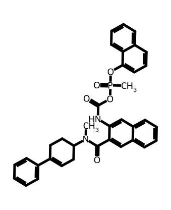 CN(C(=O)c1cc2ccccc2cc1NC(=O)OP(C)(=O)Oc1cccc2ccccc12)C1CC=C(c2ccccc2)CC1